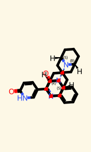 O=c1ccc(-c2nc3ccccc3n([C@H]3C[C@H]4CCC[C@@H](C3)N4[C@H]3C[C@@H]4CCC[C@@H](C4)C3)c2=O)c[nH]1